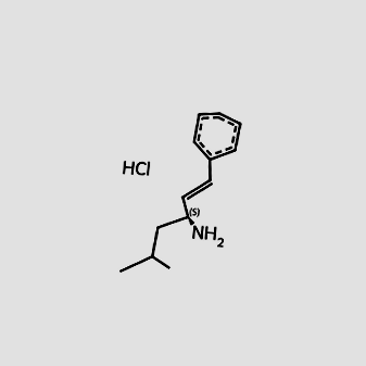 CC(C)C[C@H](N)C=Cc1ccccc1.Cl